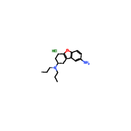 CCCN(CCC)C1CCc2oc3ccc(N)cc3c2C1.Cl